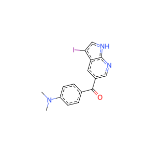 CN(C)c1ccc(C(=O)c2cnc3[nH]cc(I)c3c2)cc1